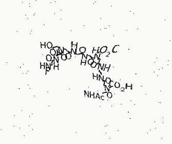 CC(=O)NCC(=O)N(CC(=O)O)CC(=O)NCCNC(=O)CN(CC(=O)O)C(=O)CNC(=O)CNC(=O)CN(CC(O)O)C(=O)CNC(=O)CNF